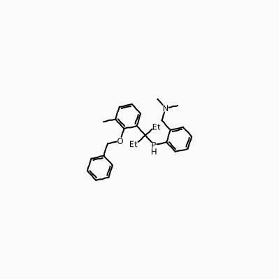 CCC(CC)(Pc1ccccc1CN(C)C)c1cccc(C)c1OCc1ccccc1